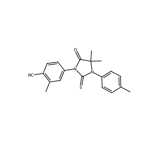 Cc1ccc(N2C(=S)N(c3ccc(C#N)c(C)c3)C(=O)C2(C)C)cc1